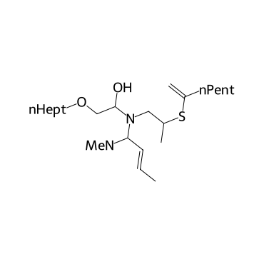 C=C(CCCCC)SC(C)CN(C(O)COCCCCCCC)C(C=CC)NC